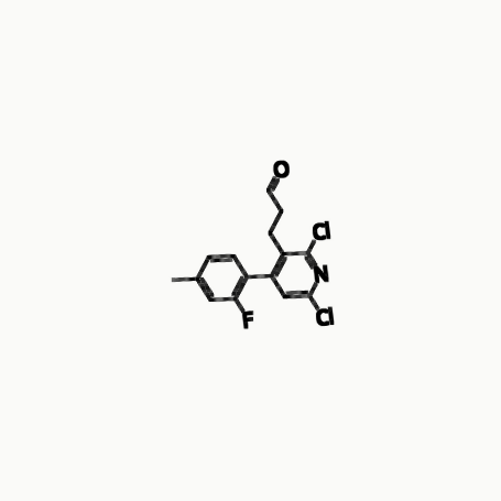 Cc1ccc(-c2cc(Cl)nc(Cl)c2CCC=O)c(F)c1